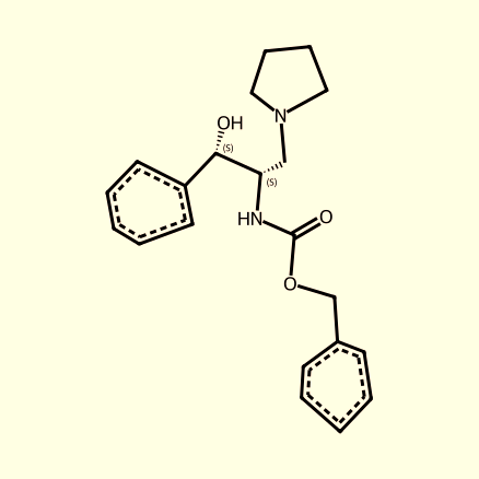 O=C(N[C@@H](CN1CCCC1)[C@@H](O)c1ccccc1)OCc1ccccc1